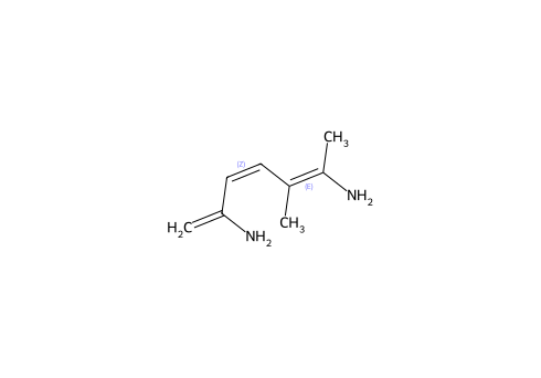 C=C(N)/C=C\C(C)=C(/C)N